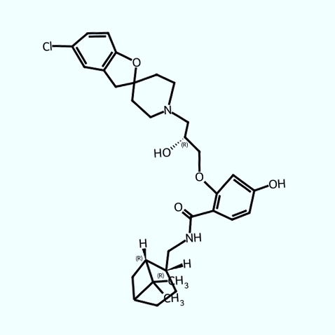 CC1(C)C2CC[C@@H](CNC(=O)c3ccc(O)cc3OC[C@H](O)CN3CCC4(CC3)Cc3cc(Cl)ccc3O4)[C@H]1C2